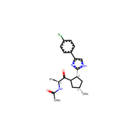 COC(=O)N[C@H](C(=O)C1C[C@@H](SC)C[C@H]1c1nc(-c2ccc(Br)cc2)c[nH]1)C(C)C